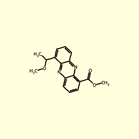 COC(=O)c1cccc2nc3c(C(C)OC)cccc3nc12